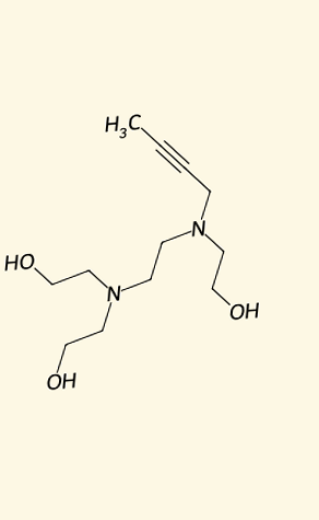 CC#CCN(CCO)CCN(CCO)CCO